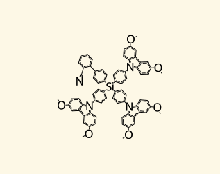 COc1ccc2c(c1)c1cc(OC)ccc1n2-c1ccc([Si](c2ccc(-c3ccccc3C#N)cc2)(c2ccc(-n3c4ccc(OC)cc4c4cc(OC)ccc43)cc2)c2ccc(-n3c4ccc(OC)cc4c4cc(OC)ccc43)cc2)cc1